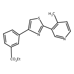 CCOC(=O)c1cccc(-c2csc(-c3cnccc3C)n2)c1